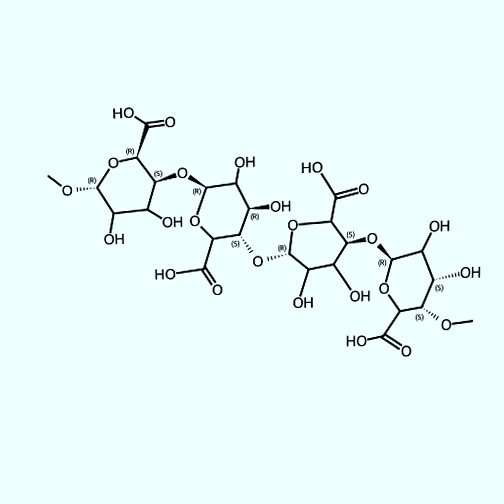 CO[C@@H]1O[C@@H](C(=O)O)[C@@H](O[C@@H]2OC(C(=O)O)[C@@H](O[C@@H]3OC(C(=O)O)[C@@H](O[C@@H]4OC(C(=O)O)[C@@H](OC)[C@@H](O)C4O)C(O)C3O)[C@H](O)C2O)C(O)C1O